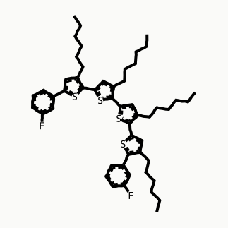 CCCCCCc1cc(-c2sc(-c3sc(-c4sc(-c5cccc(F)c5)cc4CCCCCC)cc3CCCCCC)cc2CCCCCC)sc1-c1cccc(F)c1